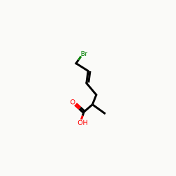 CC(C/C=C/CBr)C(=O)O